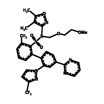 COCCOCN(c1noc(C)c1C)S(=O)(=O)c1c(C)cccc1-c1ccc(-c2ncccn2)cc1-n1ccc(C(F)(F)F)n1